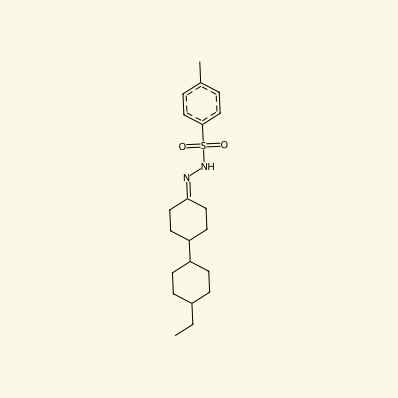 CCC1CCC(C2CCC(=NNS(=O)(=O)c3ccc(C)cc3)CC2)CC1